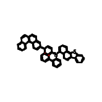 c1ccc(-c2ccccc2N(c2ccc(-c3ccc4c(ccc5ccc6ccccc6c54)c3)cc2)c2cccc3c2ccc2c4ccccc4sc32)cc1